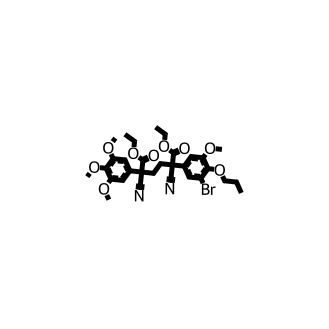 CCCOc1c(Br)cc(C(C#N)(CCC(C#N)(C(=O)OCC)c2cc(OC)c(OC)c(OC)c2)C(=O)OCC)cc1OC